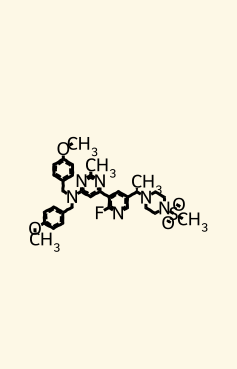 COc1ccc(CN(Cc2ccc(OC)cc2)c2cc(-c3cc([C@@H](C)N4CCN(S(C)(=O)=O)CC4)cnc3F)nc(C)n2)cc1